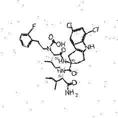 CCC(C)[C@H](NC(=O)[C@@]1(NC(=O)[C@H](C(C)CC)N(CCc2ccccc2F)C(=O)O)CCc2[nH]c3c(Cl)cc(Cl)cc3c2C1)C(N)=O